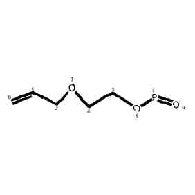 C=CCOCCOP=O